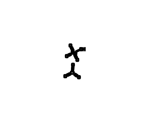 [O]=[Cr](=[O])=[O].[O]=[Mn](=[O])(=[O])[OH]